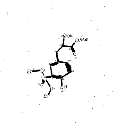 CCOP(=O)(OCC)c1cc(CC(NC(C)=O)C(=O)OC)ccc1O